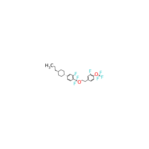 CCC[C@H]1CC[C@H](c2ccc(C(F)(F)OCCc3ccc(OC(F)(F)F)c(F)c3)c(F)c2)CC1